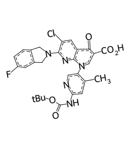 Cc1cc(NC(=O)OC(C)(C)C)ncc1-n1cc(C(=O)O)c(=O)c2cc(Cl)c(N3Cc4ccc(F)cc4C3)nc21